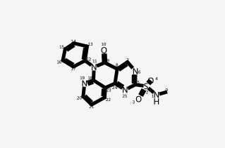 CNS(=O)(=O)c1ncc2c(=O)n(-c3ccccc3)c3ncccc3c2n1